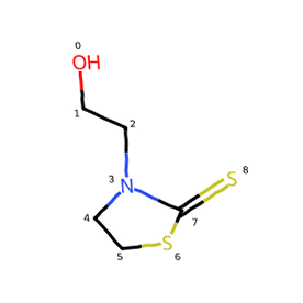 OCCN1CCSC1=S